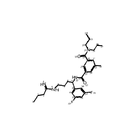 CCCC(=N)NCCCC(NC(=O)c1cc(C)cc(C(=O)N(CCC)CCC)c1)c1cc(F)cc(F)c1